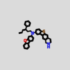 C=C/C=C(\CCN(c1ccc2c(c1)oc1ccccc12)c1ccc2sc3cc4c(cc3c2c1)CNC=C4)c1ccccc1